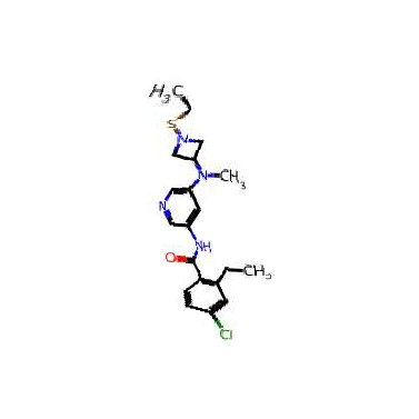 CCSN1CC(N(C)c2cncc(NC(=O)c3ccc(Cl)cc3CC)c2)C1